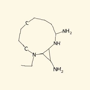 CCN1CCCCCCCC(N)NC2C(N)C21